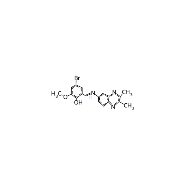 COc1cc(Br)cc(/C=N/c2ccc3nc(C)c(C)nc3c2)c1O